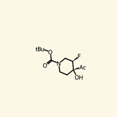 CC(=O)[C@@]1(O)CCN(C(=O)OC(C)(C)C)C[C@H]1F